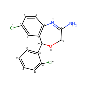 NC1=Nc2ccc(Cl)cc2C(c2ccccc2Cl)OC1